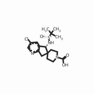 CC(C)(C)[S@@+]([O-])N[C@H]1c2cc(Cl)cnc2CC12CCN(C(=O)O)CC2